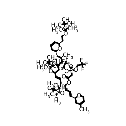 C=C(CC(/C=C/C[C@H](OC(=O)CP(=O)(OCC(F)(F)F)OCC(F)(F)F)[C@H](/C=C/[C@@H]1CC(C)=CCO1)O[Si](C)(C)C(C)(C)C)O[Si](C)(C)C(C)(C)C)C[C@H](C)C[C@@H]1CC=C[C@@H](CCO[Si](C)(C)C(C)(C)C)O1